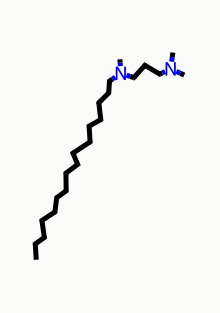 CCCCCCCCCCCCCCCCN(C)CCCN(C)C